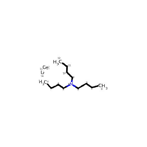 CCCCN(CCCC)CCCC.[Ge].[Li]